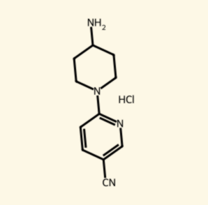 Cl.N#Cc1ccc(N2CCC(N)CC2)nc1